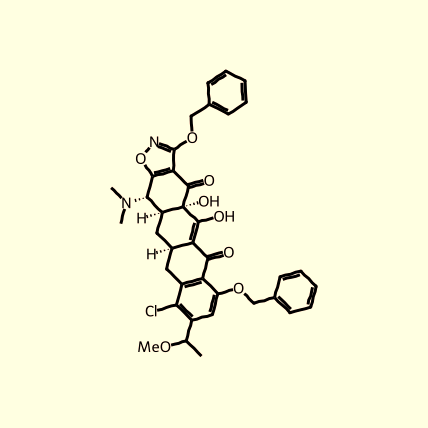 COC(C)c1cc(OCc2ccccc2)c2c(c1Cl)C[C@H]1C[C@H]3[C@H](N(C)C)c4onc(OCc5ccccc5)c4C(=O)[C@@]3(O)C(O)=C1C2=O